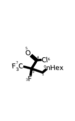 CCCCCCCC(F)(C(=O)Cl)C(F)(F)F